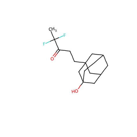 CC(F)(F)C(=O)CCC12CC3CC(CC(O)(C3)C1)C2